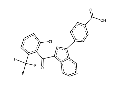 O=C(O)c1ccc(-c2cc(C(=O)c3c(Cl)cccc3C(F)(F)F)n3ccccc23)cc1